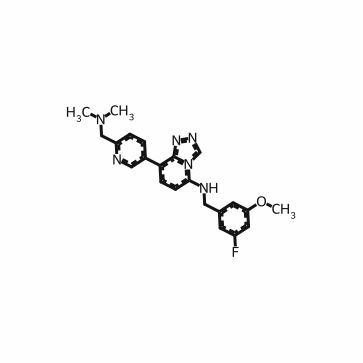 COc1cc(F)cc(CNc2ccc(-c3ccc(CN(C)C)nc3)c3nncn23)c1